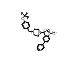 O=C(c1cc(-c2ccccc2)ccc1[N+](=O)[O-])N1CCN(Cc2ccc(OC(F)(F)F)cc2)CC1